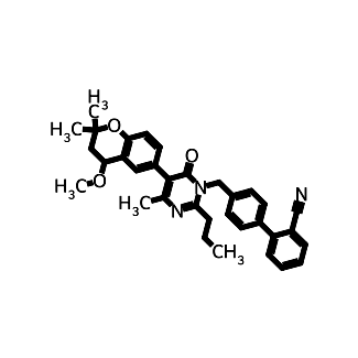 CCCc1nc(C)c(-c2ccc3c(c2)C(OC)CC(C)(C)O3)c(=O)n1Cc1ccc(-c2ccccc2C#N)cc1